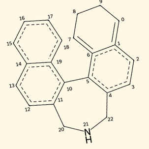 C1=c2ccc3c(c2=CCC1)-c1c(ccc2ccccc12)CNC3